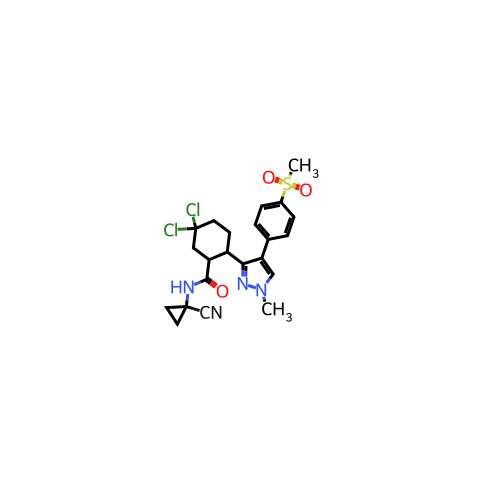 Cn1cc(-c2ccc(S(C)(=O)=O)cc2)c(C2CCC(Cl)(Cl)CC2C(=O)NC2(C#N)CC2)n1